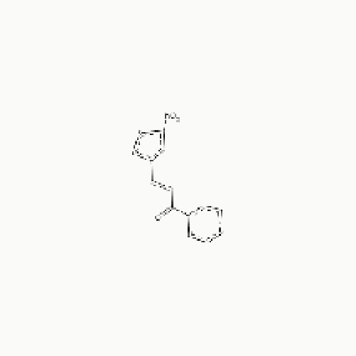 O=C(C=Cc1csc([N+](=O)[O-])c1)c1ccccc1